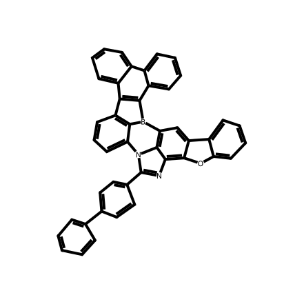 c1ccc(-c2ccc(-c3nc4c5oc6ccccc6c5cc5c4n3-c3cccc4c3B5c3c-4c4ccccc4c4ccccc34)cc2)cc1